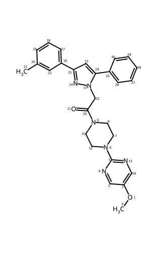 COc1cnc(N2CCN(C(=O)Cn3nc(-c4cccc(C)c4)cc3-c3ccccc3)CC2)nc1